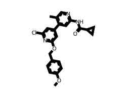 COc1ccc(COc2cc(-c3cc(NC(=O)C4CC4)ncc3C)cc(Cl)n2)cc1